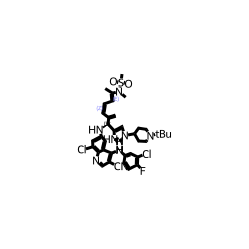 C=C(/C=C\C=C(/C)N(C)S(C)(=O)=O)[C@H](Nc1cc(Cl)c2ncc(C#N)c(Nc3ccc(F)c(Cl)c3)c2c1)C1=CN(C2CCN(C(C)(C)C)CC2)NN1